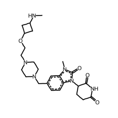 CNC1CC(OCCN2CCN(Cc3ccc4c(c3)n(C)c(=O)n4C3CCC(=O)NC3=O)CC2)C1